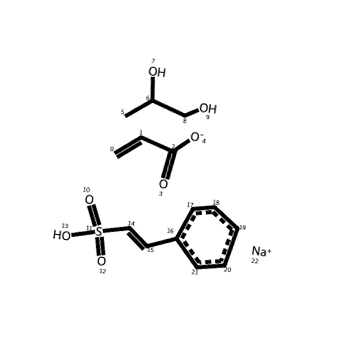 C=CC(=O)[O-].CC(O)CO.O=S(=O)(O)C=Cc1ccccc1.[Na+]